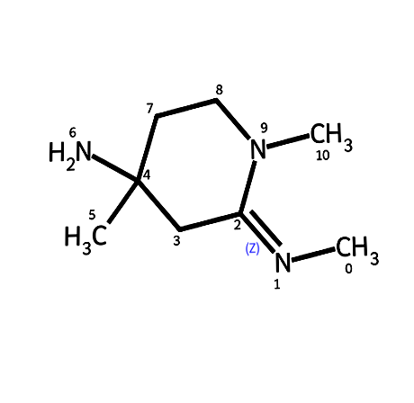 C/N=C1/CC(C)(N)CCN1C